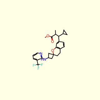 COC(=O)C(C)C(c1ccc2c(c1)OC1(CC2)CC(Nc2ncccc2C(F)(F)F)C1)C1CC1